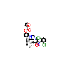 Cc1ccc(OC(=O)c2ccco2)cc1N1CCN(Cc2c(-c3c(Cl)cccc3Cl)noc2C(C)C)CC1